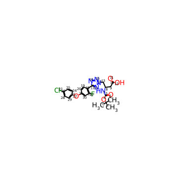 CC(C)(C)OC(=O)NC(CC(=O)O)Cn1nnc(-c2ccc(Oc3ccc(Cl)cc3)cc2F)n1